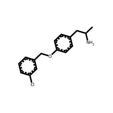 CC(N)Cc1ccc(OCc2cccc(Cl)c2)cc1